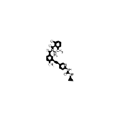 Cc1ccc(C(=O)N(N)C(=O)c2c(C)cccc2Cl)cc1C#Cc1ccc(NC(=O)NC2CC2)nc1